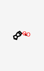 O=COC1CC2CC1C1C=CCC21